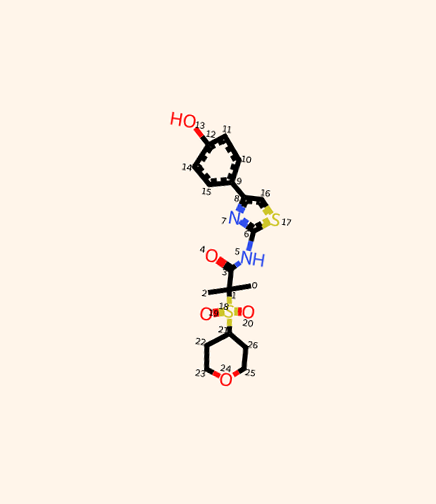 CC(C)(C(=O)Nc1nc(-c2ccc(O)cc2)cs1)S(=O)(=O)C1CCOCC1